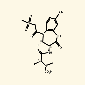 C[C@@H](C(=O)N[C@@H]1C(=O)Nc2cc(C#N)ccc2N(C(=O)CS(C)(=O)=O)[C@H]1C)N(C)C(=O)O